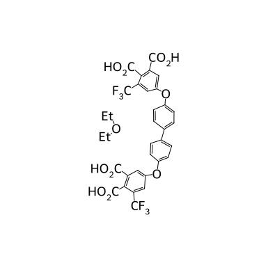 CCOCC.O=C(O)c1cc(Oc2ccc(-c3ccc(Oc4cc(C(=O)O)c(C(=O)O)c(C(F)(F)F)c4)cc3)cc2)cc(C(F)(F)F)c1C(=O)O